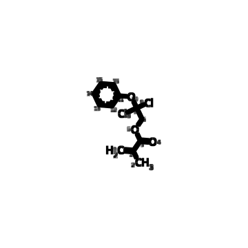 C=C(C)C(=O)OCC(Cl)(Cl)Oc1ccccc1